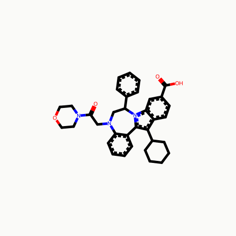 O=C(O)c1ccc2c(C3CCCCC3)c3n(c2c1)C(c1ccccc1)CN(CC(=O)N1CCOCC1)c1ccccc1-3